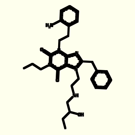 CCCn1c(=O)c2c(nc(Cc3ccccc3)n2CCNCC(O)CC)n(CCc2ccccc2N)c1=O